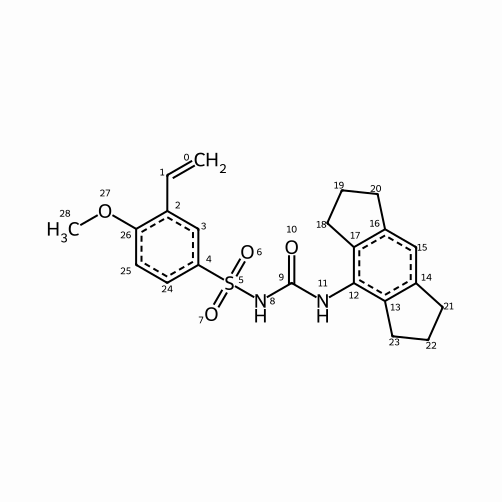 C=Cc1cc(S(=O)(=O)NC(=O)Nc2c3c(cc4c2CCC4)CCC3)ccc1OC